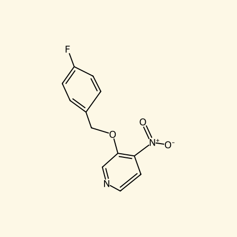 O=[N+]([O-])c1ccncc1OCc1ccc(F)cc1